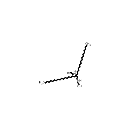 CCCCCCCCCCCCCCCCCCC(CCCCCCCCCCCCCCCCCC)(CCNCCO)NCCO